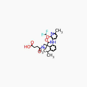 Cc1ccc(NC(=O)C2(c3ccccc3C(C)C)CN(C(=O)CCC(=O)O)C2)c(OC(F)F)n1